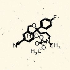 COP(=O)(OC)N(C)CCCC1(c2ccc(F)cc2)OCc2cc(C#N)ccc21